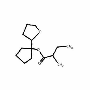 CCC(C)C(=O)OC1(C2CCCO2)CCCC1